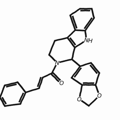 Cc1ccc(/C=C/C(=O)N2CCc3c([nH]c4ccccc34)C2c2ccc3c(c2)OCO3)cc1